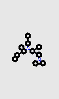 c1ccc(-c2ccc(N(c3ccc(-c4cccc(-n5c6ccccc6c6ccccc65)c4)c(-c4ccccc4)c3)c3ccc(-c4ccc5ccccc5c4)c4ccccc34)cc2)cc1